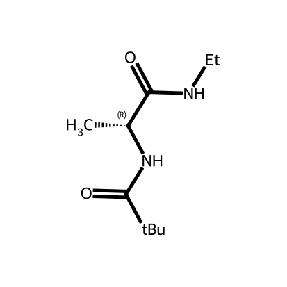 CCNC(=O)[C@@H](C)NC(=O)C(C)(C)C